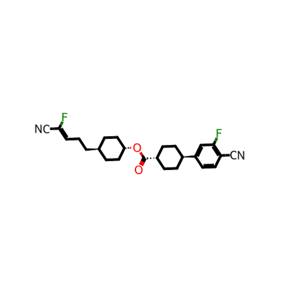 N#CC(F)=CCC[C@H]1CC[C@H](OC(=O)[C@H]2CC[C@H](c3ccc(C#N)c(F)c3)CC2)CC1